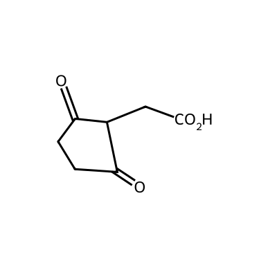 O=C(O)CC1C(=O)CCC1=O